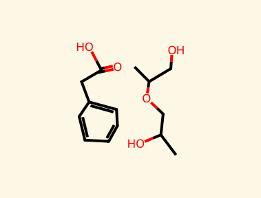 CC(O)COC(C)CO.O=C(O)Cc1ccccc1